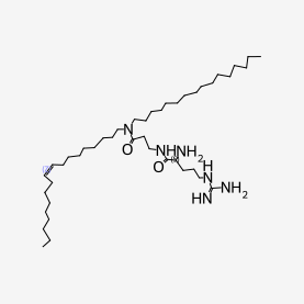 CCCCCCCC/C=C\CCCCCCCCN(CCCCCCCCCCCCCCCC)C(=O)CCNC(=O)[C@@H](N)CCCNC(=N)N